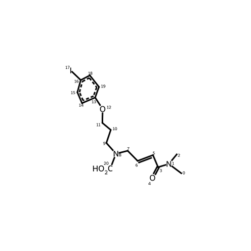 CN(C)C(=O)C=CCN(CCCOc1ccc(I)cc1)C(=O)O